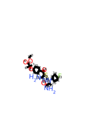 CCOC(=O)C(C)(C)Oc1ccc(C(=O)c2sc(N(c3ccc(F)cc3)C(C)C(N)=O)nc2N)cc1